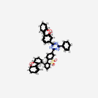 O=S1(=O)c2cc(-c3nc(-c4ccccc4)nc(-c4ccc5c(c4)oc4ccccc45)n3)ccc2-c2c(-c3cccc4oc5ccccc5c34)cccc21